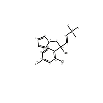 C[Si](C)(C)C=CC(O)(Cn1cncn1)c1ccc(Cl)cc1Cl